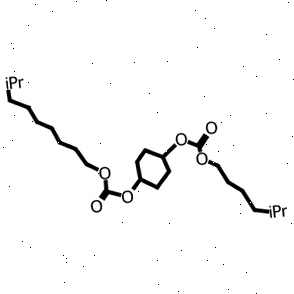 CC(C)CCCCCCCOC(=O)OC1CCC(OC(=O)OCCCCC(C)C)CC1